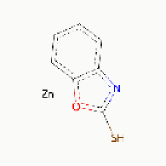 Sc1nc2ccccc2o1.[Zn]